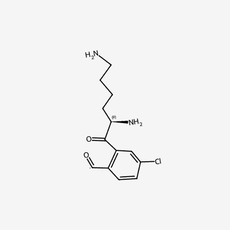 NCCCC[C@@H](N)C(=O)c1cc(Cl)ccc1[C]=O